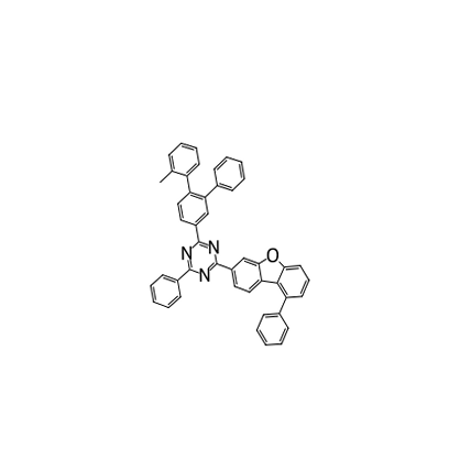 Cc1ccccc1-c1ccc(-c2nc(-c3ccccc3)nc(-c3ccc4c(c3)oc3cccc(-c5ccccc5)c34)n2)cc1-c1ccccc1